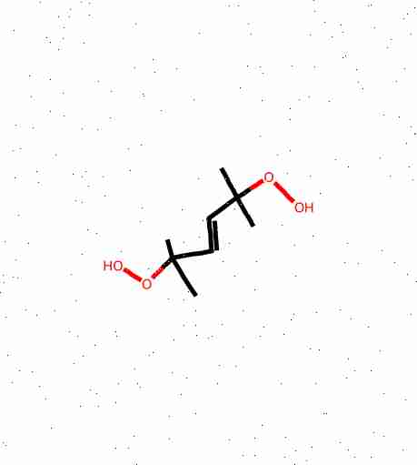 CC(C)(C=CC(C)(C)OO)OO